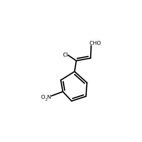 O=C/C=C(\Cl)c1cccc([N+](=O)[O-])c1